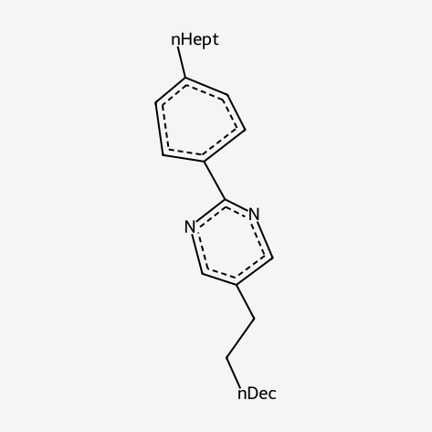 CCCCCCCCCCCCc1cnc(-c2ccc(CCCCCCC)cc2)nc1